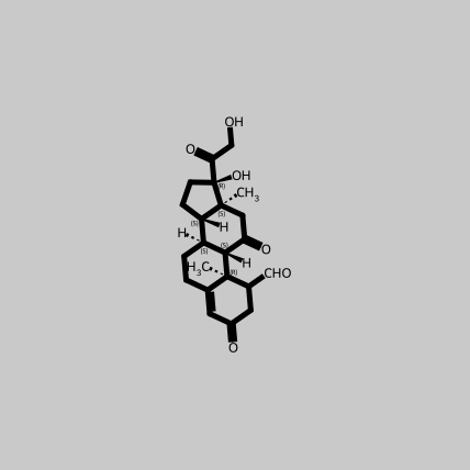 C[C@]12CC(=O)[C@H]3[C@@H](CCC4=CC(=O)CC(C=O)[C@@]43C)[C@@H]1CC[C@]2(O)C(=O)CO